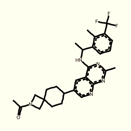 CC(=O)N1CC2(CCC(c3cnc4nc(C)nc(NC(C)c5cccc(C(F)(F)F)c5C)c4c3)CC2)C1